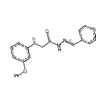 CC(C)Oc1cccc(NCC(=O)N/N=C/c2ccncc2)c1